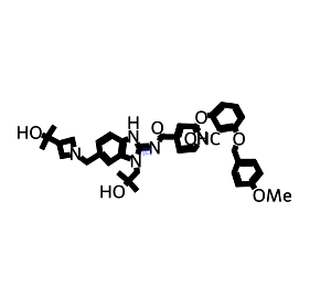 COc1ccc(COc2cccc(Oc3cc(C(=O)/N=c4\[nH]c5ccc(CN6CC(C(C)(C)O)C6)cc5n4CC(C)(C)O)ccn3)c2C=O)cc1